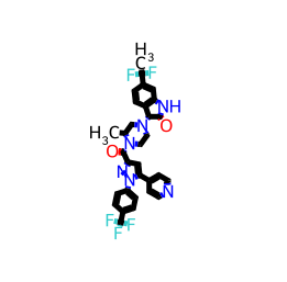 CC1CN(C2C(=O)Nc3cc(C(C)(F)F)ccc32)CCN1C(=O)c1cc(-c2ccncc2)n(-c2ccc(C(F)(F)F)cc2)n1